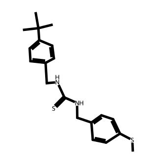 CSc1ccc(CNC(=S)NCc2ccc(C(C)(C)C)cc2)cc1